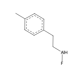 Cc1ccc(C[CH2][AlH][F])cc1